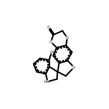 O=C1COc2cc3c(cc2O1)C1(CNc2cccc(O)c21)CO3